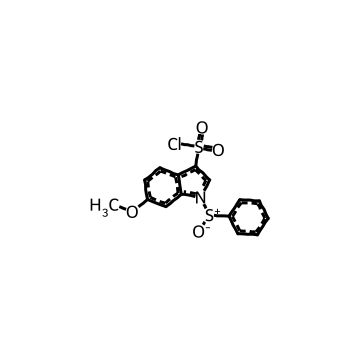 COc1ccc2c(S(=O)(=O)Cl)cn([S+]([O-])c3ccccc3)c2c1